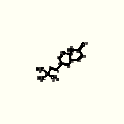 C[Si](C)(C)C=Cc1cnc2[nH]c(=O)ccc2c1